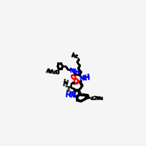 COc1cccc(CCNC(=O)C(CCCCCC(C)=O)NC(=O)Cc2c(C)[nH]c3ccc(OC)cc23)c1